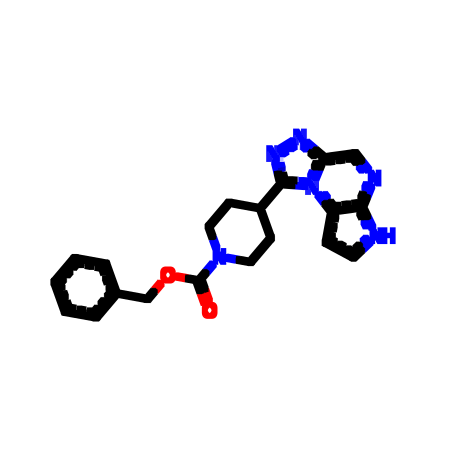 O=C(OCc1ccccc1)N1CCC(c2nnc3cnc4[nH]ccc4n23)CC1